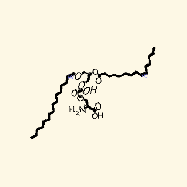 CCCCC/C=C\CCCCCCCC(=O)O[C@H](CO/C=C\CCCCCCCCCCCCCC)COP(=O)(O)OC[C@H](N)C(=O)O